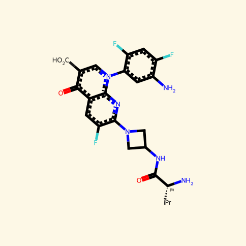 CC(C)[C@@H](N)C(=O)NC1CN(c2nc3c(cc2F)c(=O)c(C(=O)O)cn3-c2cc(N)c(F)cc2F)C1